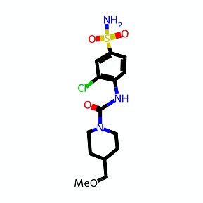 COCC1CCN(C(=O)Nc2ccc(S(N)(=O)=O)cc2Cl)CC1